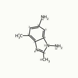 Cc1cc(N)cc2c1nc(C)n2N